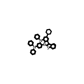 c1ccc2sc3c(c2c#1)-c1cc(C2CCCCC2)cc2c1B3c1ccc(N(c3ccccc3)c3ccccc3)cc1N2c1ccccc1